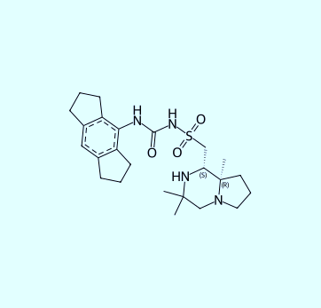 CC1(C)CN2CCC[C@]2(C)[C@@H](CS(=O)(=O)NC(=O)Nc2c3c(cc4c2CCC4)CCC3)N1